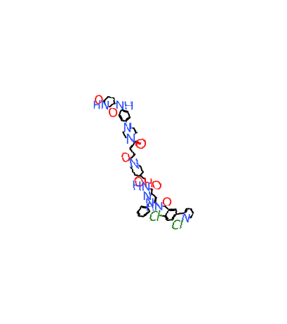 O=C1CCC(Nc2ccc(N3CCN(C(=O)CCC(=O)N4CCC(O)(CNC(=O)c5cc(NC(=O)c6cc(-c7ccccn7)c(Cl)cc6Cl)n(-c6ccccc6)n5)CC4)CC3)cc2)C(=O)N1